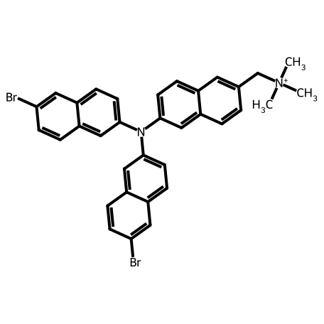 C[N+](C)(C)Cc1ccc2cc(N(c3ccc4cc(Br)ccc4c3)c3ccc4cc(Br)ccc4c3)ccc2c1